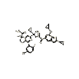 C[C@]1(C(N)=O)COc2c1cc(C(O)(CNC(=O)c1cc(OC3CC3)c3nn(C4CC4)cc3c1)C1CC1)nc2-c1cc(Cl)ccc1F